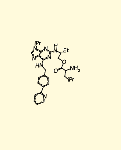 CC[C@H](COC(=O)C(N)CC(C)C)Nc1nc(NCc2ccc(-c3ccccn3)cc2)c2ncn(C(C)C)c2n1